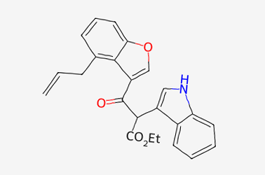 C=CCc1cccc2occ(C(=O)C(C(=O)OCC)c3c[nH]c4ccccc34)c12